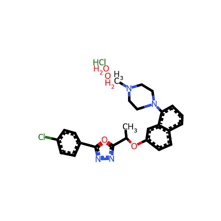 CC(Oc1ccc2cccc(N3CCN(C)CC3)c2c1)c1nnc(-c2ccc(Cl)cc2)o1.Cl.O.O